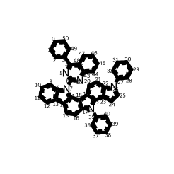 c1ccc(-c2nc(-n3c4ccccc4c4ccc5c(c6ccc7c(ccn7-c7ccccc7)c6n5-c5ccccc5)c43)nc3ccccc23)cc1